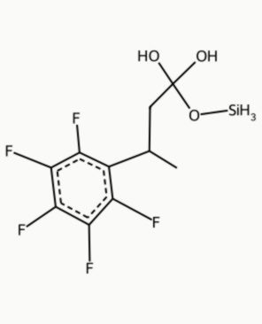 CC(CC(O)(O)O[SiH3])c1c(F)c(F)c(F)c(F)c1F